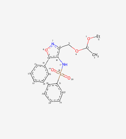 CCOC(C)OCc1noc(-c2ccccc2)c1NS(=O)(=O)c1ccccc1